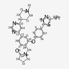 CC(C)c1nnc(-c2ccc(Oc3cc(-c4cc(C5CCN(C)CC5)ncn4)ccc3CN3CCCC3=O)cc2)s1